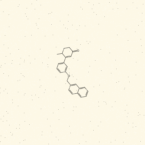 CC1CCC(=O)C=C1c1cccc(OCc2ccc3ccccc3c2)c1